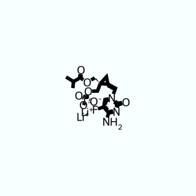 CC(C)C(=O)OC[C@]1(COP(=O)([O-])[O-])C/C1=C/n1cc(F)c(N)nc1=O.[Li+].[Li+]